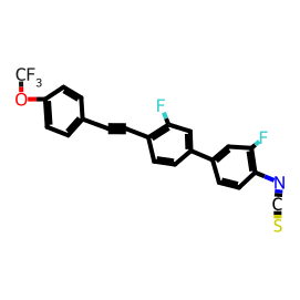 Fc1cc(-c2ccc(N=C=S)c(F)c2)ccc1C#Cc1ccc(OC(F)(F)F)cc1